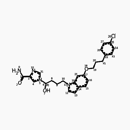 NC(=O)c1cn([C@H](O)CCCn2ccc3ccc(OCCCc4ccc(Cl)cc4)cc32)cn1